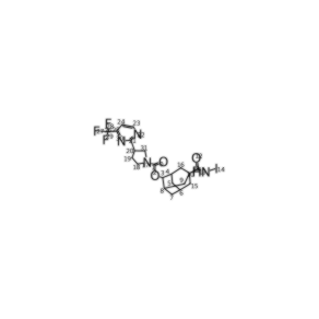 O=C(OC1C2CC3CC1CC(C(=O)NI)(C3)C2)N1CCC(c2nccc(C(F)(F)F)n2)C1